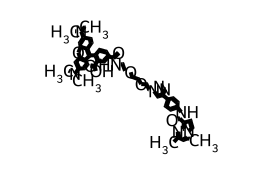 Cc1cc(C)n2ccc(C(=O)Nc3ccc(-c4cn(CCOCCOCCNC(=O)c5ccc(C6=C7C=CC(N(C)C)=CC7Oc7cc(N(C)C)ccc76)c(C(=O)O)c5)nn4)cc3)c2n1